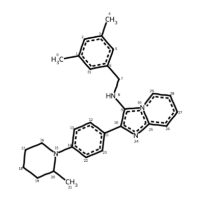 Cc1cc(C)cc(CNc2c(-c3ccc(N4CCCCC4C)cc3)nc3ccccn23)c1